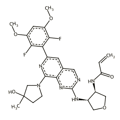 C=CC(=O)N[C@H]1COC[C@H]1Nc1ncc2cc(-c3c(F)c(OC)cc(OC)c3F)nc(N3CCC(C)(O)C3)c2n1